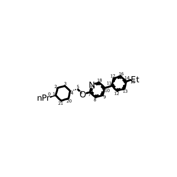 CCC[C@H]1CC[C@H](COc2ccc(-c3ccc(CC)cc3)cn2)CC1